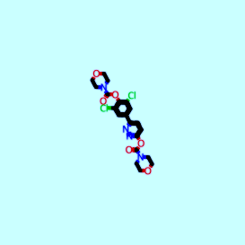 O=C(Oc1ccc(-c2cc(Cl)c(OC(=O)N3CCOCC3)c(Cl)c2)nn1)N1CCOCC1